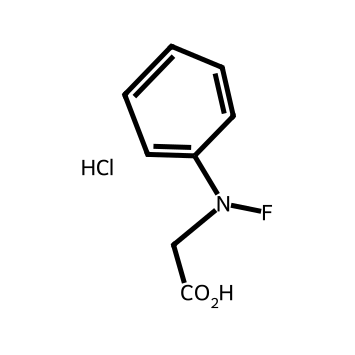 Cl.O=C(O)CN(F)c1ccccc1